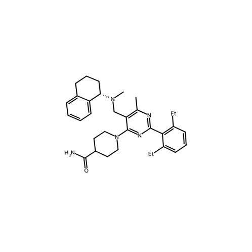 CCc1cccc(CC)c1-c1nc(C)c(CN(C)[C@H]2CCCc3ccccc32)c(N2CCC(C(N)=O)CC2)n1